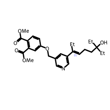 CC/C(=C\CCC(O)(CC)CC)c1cncc(COc2ccc(C(=O)OC)c(C(=O)OC)c2)c1